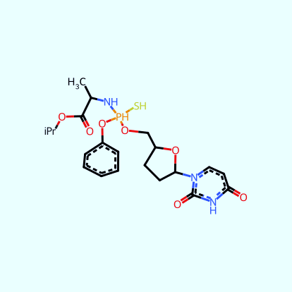 CC(C)OC(=O)C(C)N[PH](S)(OCC1CCC(n2ccc(=O)[nH]c2=O)O1)Oc1ccccc1